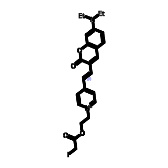 CCN(CC)c1ccc2cc(/C=C/c3cc[n+](CCOC(=O)CI)cc3)c(=O)oc2c1